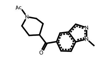 CC(=O)N1CCC(C(=O)c2ccc3c(cnn3C)c2)CC1